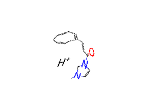 CN1C=CN(C(=O)/C=C/c2ccccc2)C1.[H+]